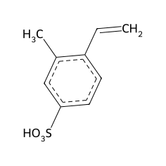 C=Cc1ccc(S(=O)(=O)O)cc1C